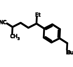 CCC(C)Cc1ccc(C(CC)CCC(C)C#N)cc1